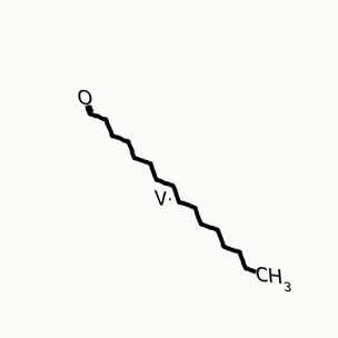 CCCCCCCCCCCCCCCC=O.[V]